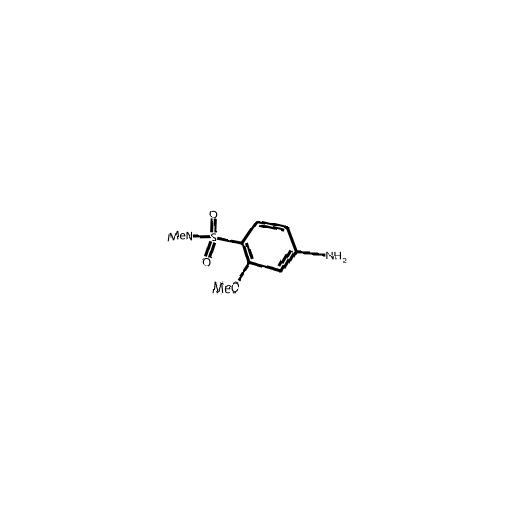 CNS(=O)(=O)c1ccc(N)cc1OC